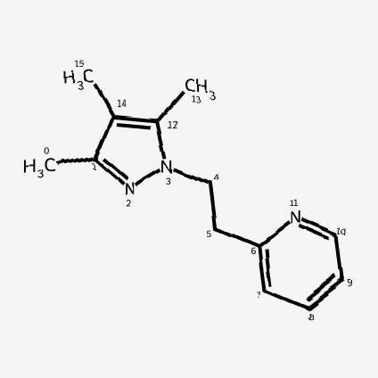 Cc1nn(CCc2ccccn2)c(C)c1C